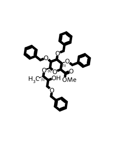 COC(=O)C1O[C@@H](O[C@@H](C)C(O)COCc2ccccc2)C(OCc2ccccc2)C(OCc2ccccc2)[C@@H]1OCc1ccccc1